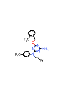 CC(C)CCN(c1ccc(C(F)(F)F)cc1)c1nc(N)nc(OCc2ccccc2C(F)(F)F)n1